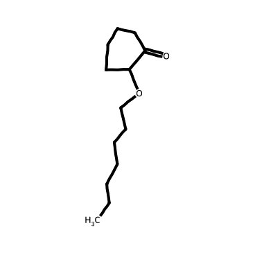 CCCCCCCOC1CCCCC1=O